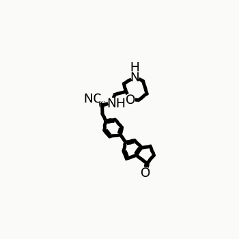 N#C[C@H](Cc1ccc(-c2ccc3c(c2)CCC3=O)cc1)NCC1CNCCCO1